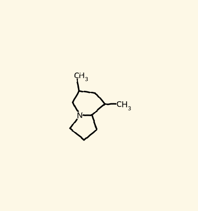 CC1CC(C)C2CCCN2C1